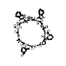 C=C1COC(=O)[C@H](CO)NC(=O)[C@H](Cc2c[nH]c3ccccc23)NC(=O)[C@H](CCCC)NC(=O)[C@H](Cc2c[nH]c3ccccc23)NC(=O)[C@H](C)NC(=O)C[C@@H](C(=O)N2CCCCC2)NC(=O)[C@@H]2CCCN2C(=O)CN(C)C(=O)[C@H](Cc2cccc(Cl)c2)N(C)C(=O)[C@H](C)N1C